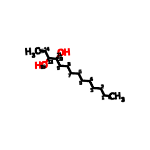 CCCCCCCCCCC(O)C(O)CC